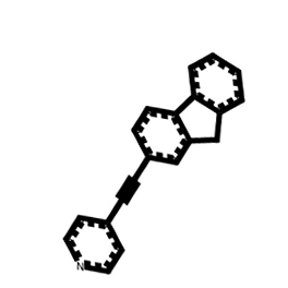 C(#Cc1ccc2c(c1)Cc1ccccc1-2)c1ccncc1